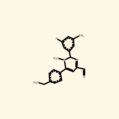 CCc1ccc(C2=CC(C=O)=NC(c3cc(C)cc(F)c3)N2C)cc1